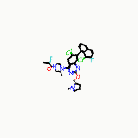 C=C(F)C(=O)N1CCN(c2nc(OC[C@@H]3CCCN3C)nc3cc(-c4cccc5ccc(F)c(Cl)c45)c(Cl)cc23)[C@@H](C)C1